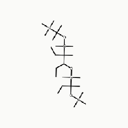 CCC(O[Si](C)(C)C(C)(CC)O[Si](C)(C)C)C(C)(CC)[Si](C)(C)OC(C)(C)[Si](C)(C)C